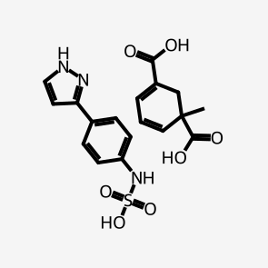 CC1(C(=O)O)C=CC=C(C(=O)O)C1.O=S(=O)(O)Nc1ccc(-c2cc[nH]n2)cc1